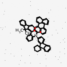 CC1(C)c2ccccc2-c2cccc(-c3ccccc3N(c3ccc(-c4cccc5cccc(-c6ccccc6)c45)cc3)c3ccc4c(c3)C3(CCCCC3)c3ccccc3-4)c21